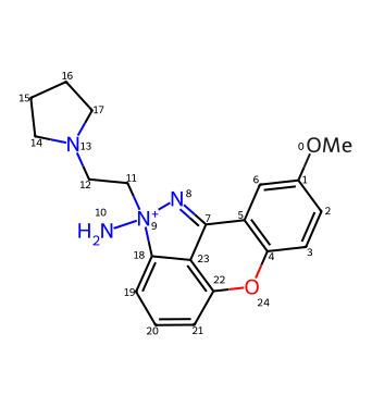 COc1ccc2c(c1)C1=N[N+](N)(CCN3CCCC3)c3cccc(c31)O2